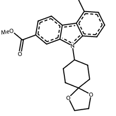 COC(=O)c1ccc2c3c(C)cccc3n(C3CCC4(CC3)OCCO4)c2c1